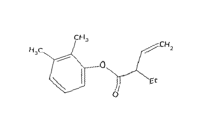 C=CC(CC)C(=O)Oc1cccc(C)c1C